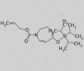 C=CCOC(=O)N1C=CC(O[Si](C(C)C)(C(C)C)C(C)C)=CCC1